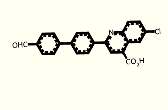 O=Cc1ccc(-c2ccc(-c3cc(C(=O)O)c4cc(Cl)ccc4n3)cc2)cc1